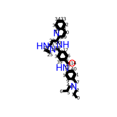 CCCN(CCC)Cc1ccc(NC(=O)c2ccc(CNC(Cc3ncc[nH]3)c3ccc4ccccc4n3)cc2)cc1